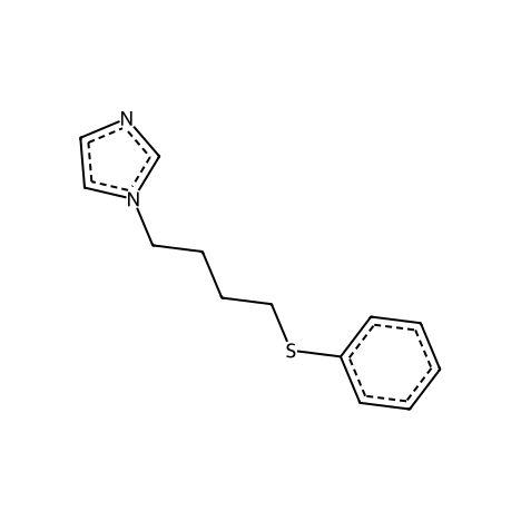 c1ccc(SCCCCn2ccnc2)cc1